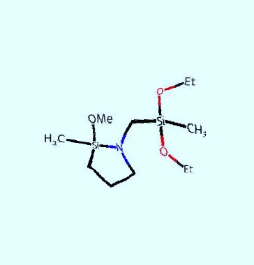 CCO[Si](C)(CN1CCC[Si]1(C)OC)OCC